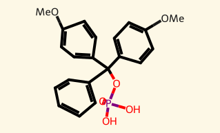 COc1ccc(C(OP(=O)(O)O)(c2ccccc2)c2ccc(OC)cc2)cc1